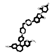 Cc1ccc(C2=C(c3ccc(N4CCC(CN5CCN(c6ccc7c(c6)CN([C@@H]6CCC(=O)NC6=O)C7=O)CC5)CC4)cc3)c3ccc(O)cc3CCC2)cn1